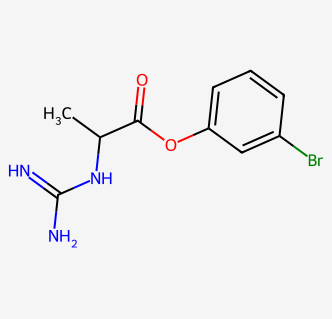 CC(NC(=N)N)C(=O)Oc1cccc(Br)c1